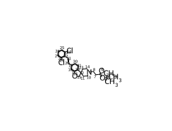 CC(C)(C)OC(=O)CCN1CCC2(CC1)COc1cc(C=Cc3c(Cl)cccc3Cl)ccc12